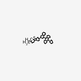 C=C/C=C\c1c(C)sc2cc(-c3cc(-c4c5ccccc5c(-c5ccccc5)c5ccccc45)c4ccccc4c3)ccc12